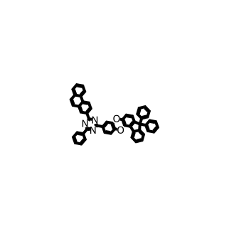 c1ccc(-c2nc(-c3ccc4c(c3)Oc3ccc5c(c3O4)-c3ccccc3C5(c3ccccc3)c3ccccc3)nc(-c3ccc4c(ccc5ccccc54)c3)n2)cc1